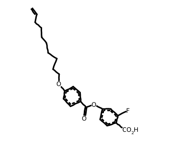 C=CCCCCCCCCOc1ccc(C(=O)Oc2ccc(C(=O)O)c(F)c2)cc1